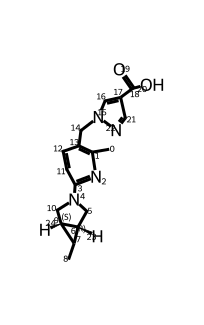 Cc1nc(N2C[C@@H]3C(C)[C@@H]3C2)ccc1Cn1cc(C(=O)O)cn1